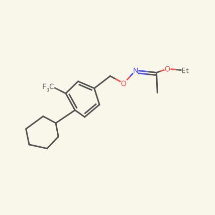 CCO/C(C)=N/OCc1ccc(C2CCCCC2)c(C(F)(F)F)c1